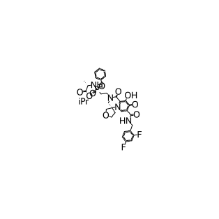 CC(C)OC(=O)[C@H](C)NP(=O)(CCN1C[C@@]2(CCOC2)n2cc(C(=O)NCc3ccc(F)cc3F)c(=O)c(O)c2C1=O)Oc1ccccc1